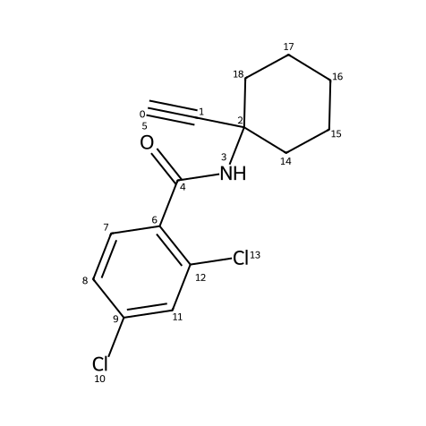 C#CC1(NC(=O)c2ccc(Cl)cc2Cl)CCCCC1